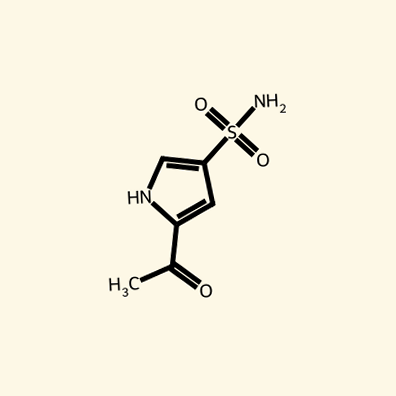 CC(=O)c1cc(S(N)(=O)=O)c[nH]1